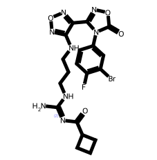 N/C(=N/C(=O)C1CCC1)NCCCNc1nonc1-c1noc(=O)n1-c1ccc(F)c(Br)c1